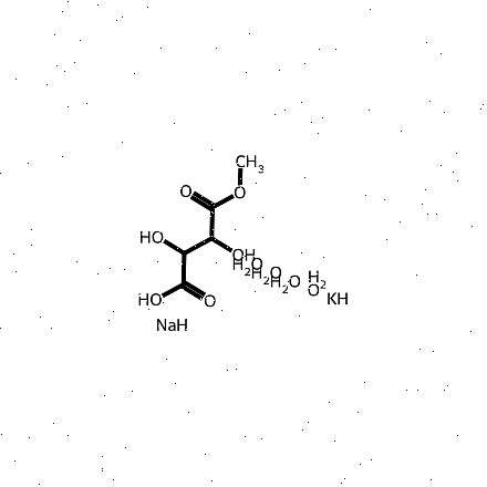 COC(=O)C(O)C(O)C(=O)O.O.O.O.O.[KH].[NaH]